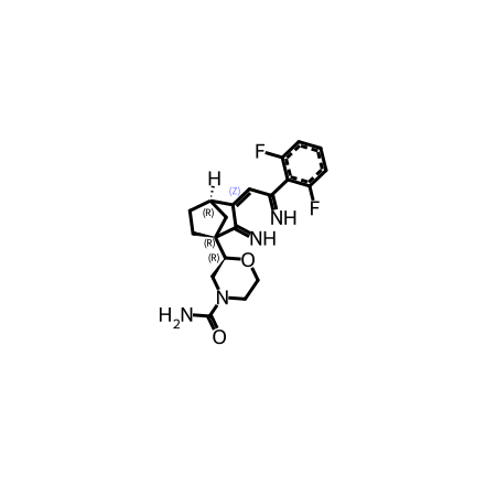 N=C(/C=C1\C(=N)[C@@]2([C@@H]3CN(C(N)=O)CCO3)CC[C@@H]1C2)c1c(F)cccc1F